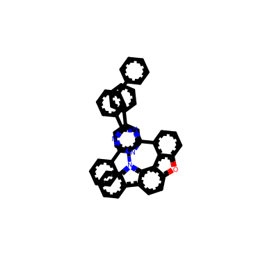 c1ccc(-c2ccc(-n3c4ccccc4c4ccc5oc6cccc(-c7nc(-c8ccccc8)nc(-c8cccc(-c9ccccc9)c8)n7)c6c5c43)cc2)cc1